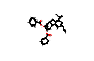 C=CCc1cc(C(C)C)c2c(c1C)C1C(C2)C2CC1C(OC(=O)c1ccccc1)C2OC(=O)c1ccccc1